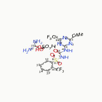 COc1nc(NC(=O)NS(=O)(=O)c2ccccc2C(F)(F)F)nc(C(F)(F)F)n1.NC(N)=O.O=S(=O)(O)O